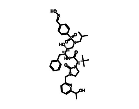 CC(C)CN(C[C@@H](O)[C@H](Cc1ccccc1)NC(=O)[C@@H](N1CCN(Cc2cccc(C(C)O)n2)C1=O)C(C)(C)C)S(=O)(=O)c1ccc(C=NO)cc1